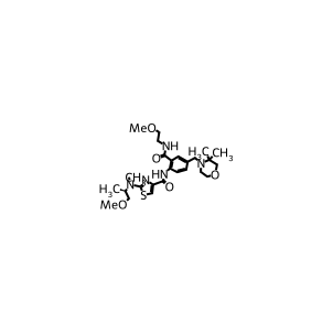 COCCNC(=O)c1cc(CN2CCOCC2(C)C)ccc1NC(=O)c1csc(N(C)[C@H](C)COC)n1